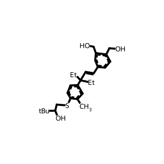 CCC(C=Cc1ccc(CO)c(CO)c1)(CC)c1ccc(SCC(O)C(C)(C)C)c(C)c1